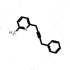 Cc1cccc(CC#CCc2ccccc2)n1